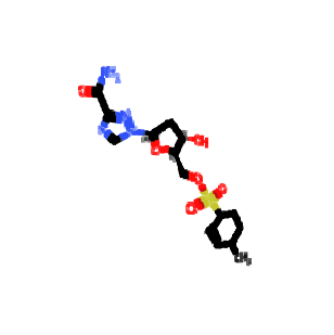 CC1C=CC(S(=O)(=O)OC[C@H]2O[C@@H](n3cnc(C(N)=O)n3)C[C@@H]2O)CC1